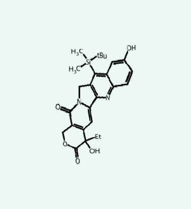 CCC1(O)C(=O)OCc2c1cc1n(c2=O)Cc2c-1nc1ccc(O)cc1c2[Si](C)(C)C(C)(C)C